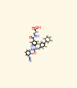 N#Cc1cccc(NC(=O)N(Cc2ccc(C3CCCCC3)cc2)c2ccc(C(=O)NCCC(=O)O)cc2)c1